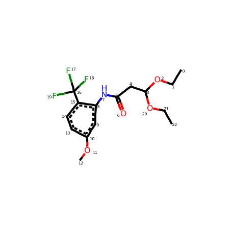 CCOC(CC(=O)Nc1cc(OC)ccc1C(F)(F)F)OCC